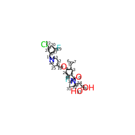 O=C(c1cc(C2CC2)c(OCC2CCN(Cc3cc(F)cc(Cl)c3)CC2)cc1F)N1CCC[C@H]1CC(O)O